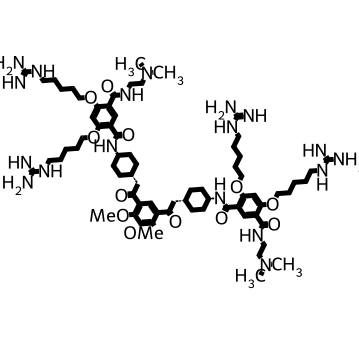 COc1cc(OC)c(C(=O)C[C@H]2CC[C@H](NC(=O)c3cc(C(=O)NCCN(C)C)c(OCCCCCNC(=N)N)cc3OCCCCCNC(=N)N)CC2)cc1C(=O)C[C@H]1CC[C@@H](NC(=O)c2cc(C(=O)NCCN(C)C)c(OCCCCCNC(=N)N)cc2OCCCCCNC(=N)N)CC1